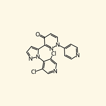 O=c1ccn(-c2ccncc2)nc1-c1ccnn1-c1c(Cl)cncc1Cl